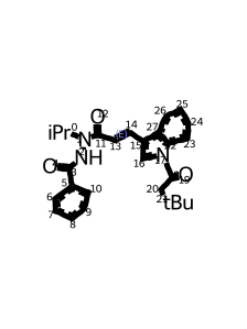 CC(C)N(NC(=O)c1ccccc1)C(=O)/C=C/c1cn(C(=O)CC(C)(C)C)c2ccccc12